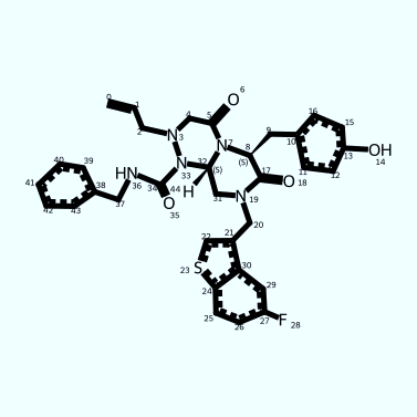 C=CCN1CC(=O)N2[C@@H](Cc3ccc(O)cc3)C(=O)N(Cc3csc4ccc(F)cc34)C[C@@H]2N1C(=O)NCc1ccccc1